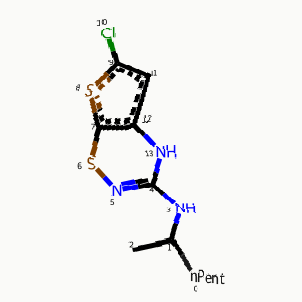 CCCCCC(C)NC1=NSc2sc(Cl)cc2N1